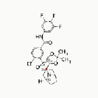 CC1(C)OC[C@H](CN2C3CC[C@H]2C[C@H](S(=O)(=O)c2cc(C(=O)Nc4cc(F)c(F)c(F)c4)ccc2Cl)C3)O1